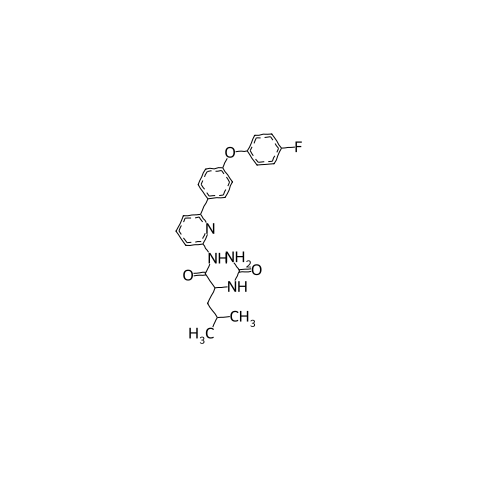 CC(C)CC(NC(N)=O)C(=O)Nc1cccc(-c2ccc(Oc3ccc(F)cc3)cc2)n1